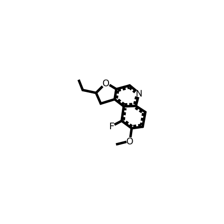 CCC1Cc2c(cnc3ccc(OC)c(F)c23)O1